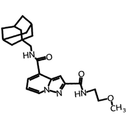 COCCNC(=O)c1cc2c(C(=O)NCC34CC5CC(CC(C5)C3)C4)cccn2n1